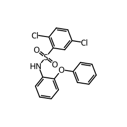 O=S(=O)(Nc1ccccc1Oc1ccccc1)c1cc(Cl)ccc1Cl